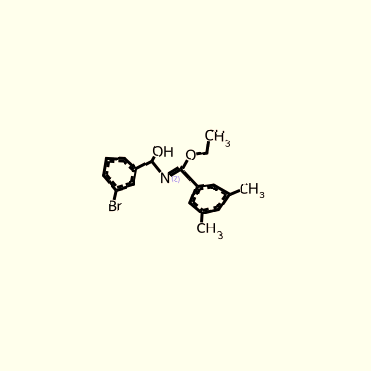 CCO/C(=N\C(O)c1cccc(Br)c1)c1cc(C)cc(C)c1